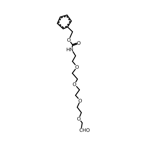 O=CCOCCOCCOCCOCCNC(=O)OCc1ccccc1